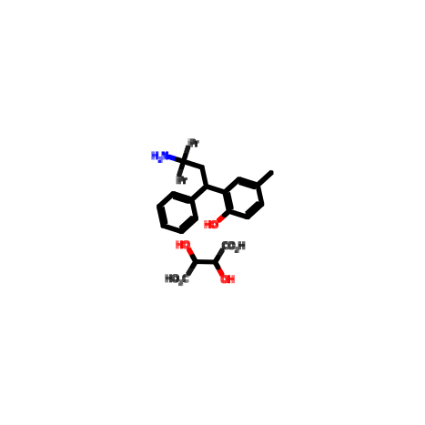 Cc1ccc(O)c(C(CC(N)(C(C)C)C(C)C)c2ccccc2)c1.O=C(O)C(O)C(O)C(=O)O